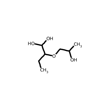 CCC(OCC(C)O)C(O)O